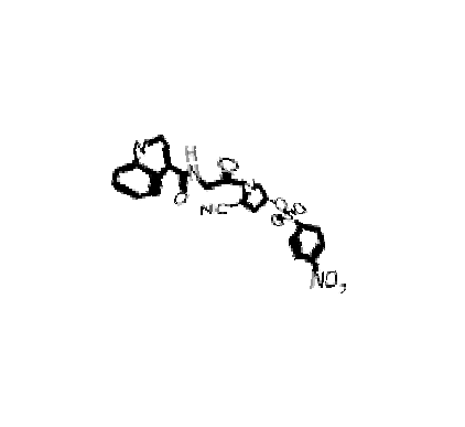 N#C[C@@H]1C[C@@H](OS(=O)(=O)c2ccc([N+](=O)[O-])cc2)CN1C(=O)CNC(=O)c1ccnc2ccccc12